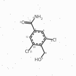 NC(=O)c1cc(Cl)c(CO)c(Cl)c1